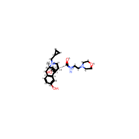 O=C(NCCN1CCOCC1)[C@@H]1C[C@]23CCN(CC4CC4)[C@H](Cc4ccc(O)cc42)[C@]3(O)C1